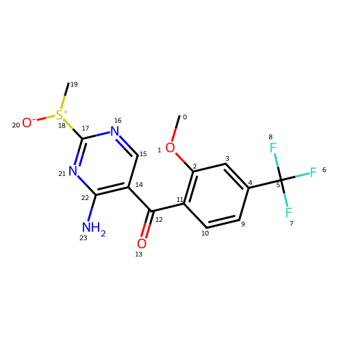 COc1cc(C(F)(F)F)ccc1C(=O)c1cnc([S+](C)[O-])nc1N